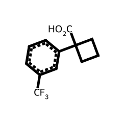 O=C(O)C1(c2cccc(C(F)(F)F)c2)CCC1